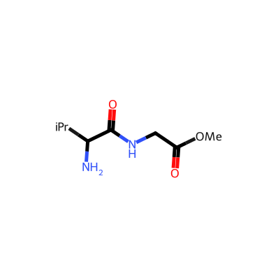 COC(=O)CNC(=O)C(N)C(C)C